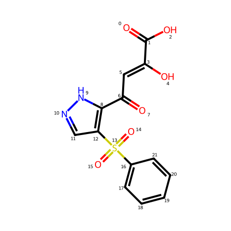 O=C(O)C(O)=CC(=O)c1[nH]ncc1S(=O)(=O)c1ccccc1